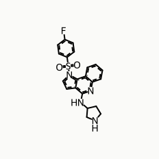 O=S(=O)(c1ccc(F)cc1)n1ccc2c(NC3CCNC3)nc3ccccc3c21